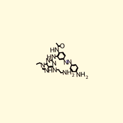 CCn1cnc2c(NCCN)nc(Nc3cc(/N=N/c4ccc(N)cc4)ccc3NC(C)=O)nc21